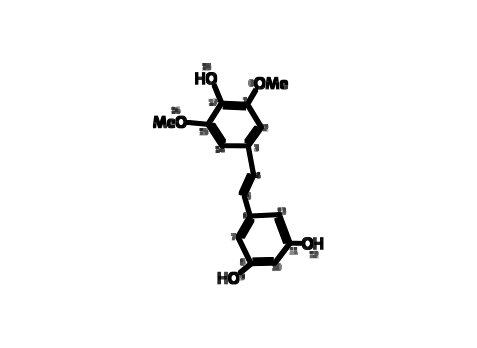 COc1cc(C=Cc2cc(O)cc(O)c2)cc(OC)c1O